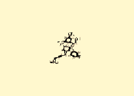 CN(C)CC#CCN1CCO[C@H](O[C@H](CO)c2cc(C(F)(F)F)cc(C(F)(F)F)c2)[C@@H]1c1ccc(F)cc1